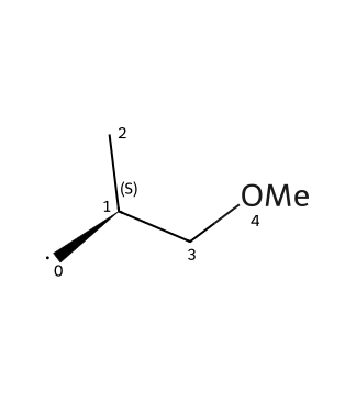 [CH2][C@@H](C)COC